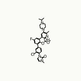 COC(O)Oc1c(-c2ccc(-n3ccn(C)c3=O)c(Cl)c2)cc(F)cc1-c1cnc(C)c(N2CCN(C(C)C)CC2)c1